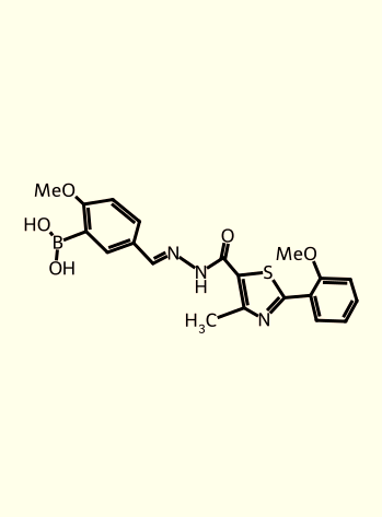 COc1ccc(/C=N/NC(=O)c2sc(-c3ccccc3OC)nc2C)cc1B(O)O